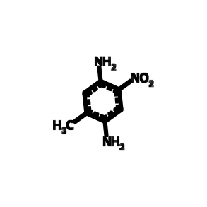 Cc1cc(N)c([N+](=O)[O-])cc1N